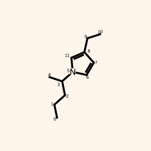 CCCC(C)n1ccc(CC)c1